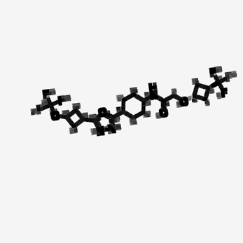 O=C(CO[C@H]1C[C@H](C(F)(F)F)C1)NC1CCC(c2nnc(C3CC(OC(F)(F)F)C3)o2)CC1